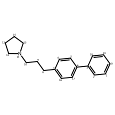 c1ccc(-c2ccc(CCCN3CCCC3)cc2)cc1